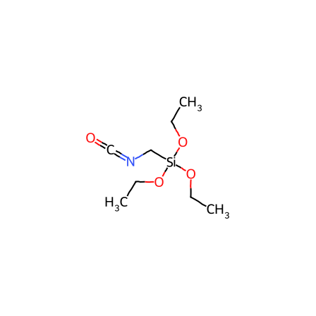 CCO[Si](CN=C=O)(OCC)OCC